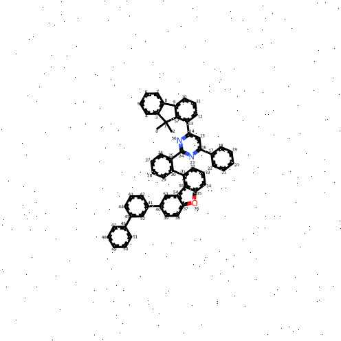 CC1(C)c2ccccc2-c2cccc(-c3cc(-c4ccccc4)nc(-c4ccccc4-c4cccc5oc6ccc(-c7cccc(-c8ccccc8)c7)cc6c45)n3)c21